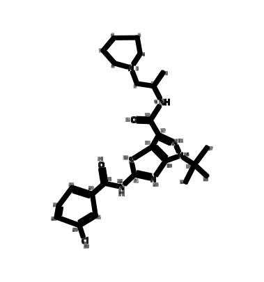 CC(CN1CCCCC1)NC(=O)c1nn(C(C)(C)C)c2nc(NC(=O)c3cccc(Cl)c3)sc12